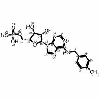 Cc1ccc(CNc2ncnc3c2ncn3[C@@H]2O[C@H](COP(=O)(O)O)[C@@H](O)[C@H]2O)cc1